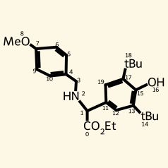 CCOC(=O)C(NCc1ccc(OC)cc1)c1cc(C(C)(C)C)c(O)c(C(C)(C)C)c1